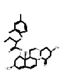 CCC(Oc1ccc(C)cc1C)C(=O)O[C@H]1C[C@H](O)C=C2C=C[C@H](C)[C@H](CC[C@@H]3C[C@@H](O)CC(=O)O3)[C@H]21